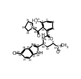 Cc1cccc(C(=O)N[C@@H](CC[S+](C)[O-])c2nc3cc(Cl)ccc3[nH]2)c1C(=O)N1CCCC1